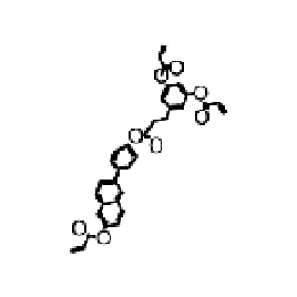 C=CC(=O)Oc1cc(CCC(=O)Oc2ccc(-c3ccc4cc(OC(=O)C=C)ccc4c3)cc2)cc(OC(=O)C=C)c1